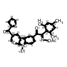 CCn1c2ccc(C(=O)/C(=N/OC(C)=O)c3c(C)cc(C)cc3C)cc2c2cc(C(=O)c3cccs3)ccc21